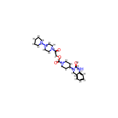 O=C(COC(=O)N1CCC(N2Cc3ccccc3NC2=O)CC1)N1CCN(N2CCCCC2)CC1